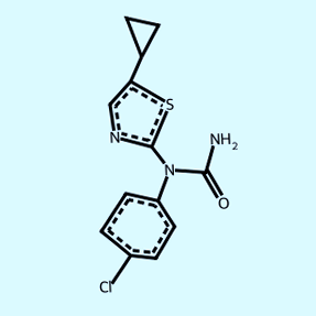 NC(=O)N(c1ccc(Cl)cc1)c1ncc(C2CC2)s1